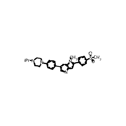 CC(C)N1CCN(c2ccc(-c3cnc4cc(-c5ccc(S(C)(=O)=O)cc5)n(C)c4c3)cc2)CC1